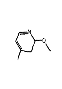 COC1CC(C)=CC=N1